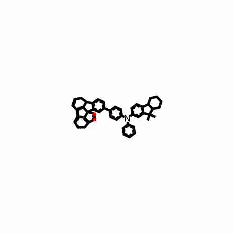 CC1(C)c2cc(N(c3ccccc3)c3ccc(-c4ccc5c(c4)C46C7=C(CCC=C7C7=C4C5CC=C7)c4ccccc46)cc3)ccc2C2CCCCC21